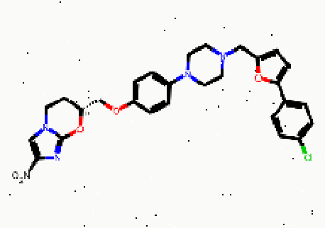 O=[N+]([O-])c1cn2c(n1)O[C@@H](COc1ccc(N3CCN(Cc4ccc(-c5ccc(Cl)cc5)o4)CC3)cc1)CC2